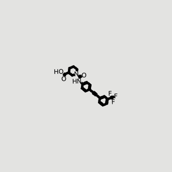 O=C(O)C1CCCN(C(=O)Nc2ccc(C#Cc3cccc(C(F)(F)F)c3)cc2)C1